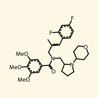 COc1cc(C(=O)N(CC(C)=Cc2ccc(F)cc2F)CC2CCCN2C2CCOCC2)cc(OC)c1OC